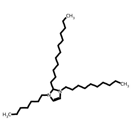 CCCCCCCCCCCCC1N(CCCCCCC)C=CN1CCCCCCCCCC